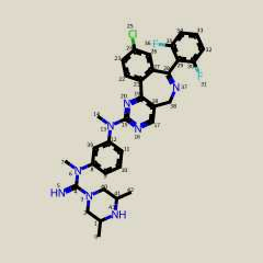 CC1CN(C(=N)N(C)c2cccc(N(C)c3ncc4c(n3)-c3ccc(Cl)cc3C(c3c(F)cccc3F)=NC4)c2)CC(C)N1